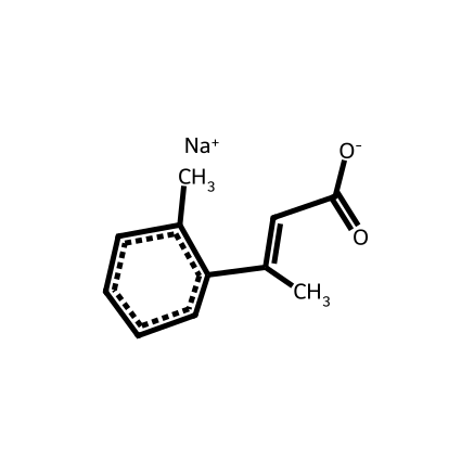 CC(=CC(=O)[O-])c1ccccc1C.[Na+]